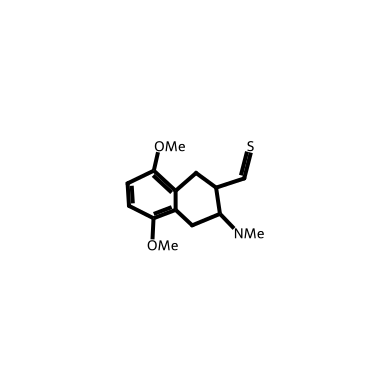 CNC1Cc2c(OC)ccc(OC)c2CC1C=S